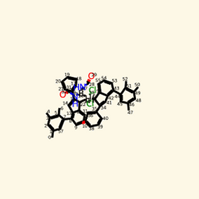 Cc1cc(C)c(C)c(-c2cccc3c2C=C(c2ccccc2)[CH]3[Hf]([Cl])([Cl])([B](NC=O)NC=O)[CH]2C(c3ccccc3)=Cc3c(-c4cc(C)cc(C)c4C)cccc32)c1